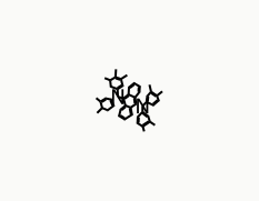 CC1=CC(N(C2=CC(C)=C(C)C(C)C2)c2c3ccccc3c(N(c3ccc(C)c(C)c3)c3ccc(C)c(C)c3)c3ccccc23)=CCC1C